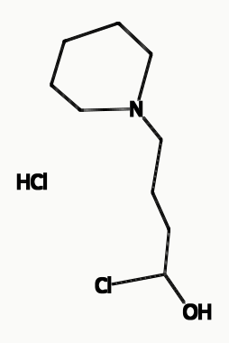 Cl.OC(Cl)CCCN1CCCCC1